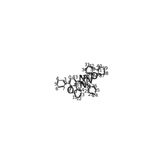 C1=C(c2ccccc2)C2Oc3ccccc3C2C(c2nc(-c3ccccc3)nc(-c3cccc4c3oc3ccccc34)n2)=C1